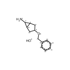 Cl.NC1C2CC(OCc3ccccc3)CC12